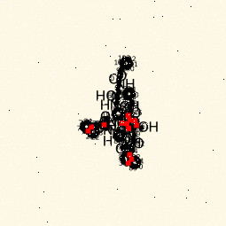 O=C(NCCN(O)C(=O)N[C@@H]1C[C@H](NC(=O)OCc2ccccc2)[C@@H](O[C@H]2O[C@H](CNC(=O)OCc3ccccc3)C=C[C@H]2NC(=O)OCc2ccccc2)[C@H](O[C@@H]2O[C@H](CO)[C@@H](O[C@H]3O[C@@H](CNC(=O)OCc4ccccc4)C=C[C@H]3NC(=O)OCc3ccccc3)[C@H]2O)[C@H]1O)OCc1ccccc1